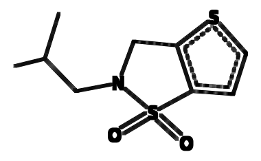 CC(C)CN1Cc2sccc2S1(=O)=O